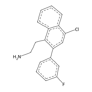 NCCc1c(-c2cccc(F)c2)cc(Cl)c2ccccc12